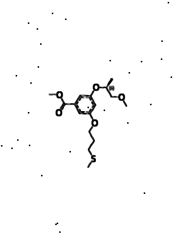 COC[C@H](C)Oc1cc(OCCCSC)cc(C(=O)OC)c1